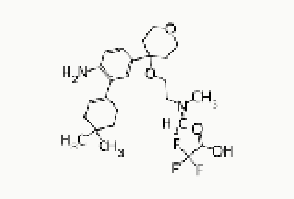 CN(C)CCOC1(c2ccc(N)c(C3=CCC(C)(C)CC3)c2)CCOCC1.O=C(O)C(F)(F)F